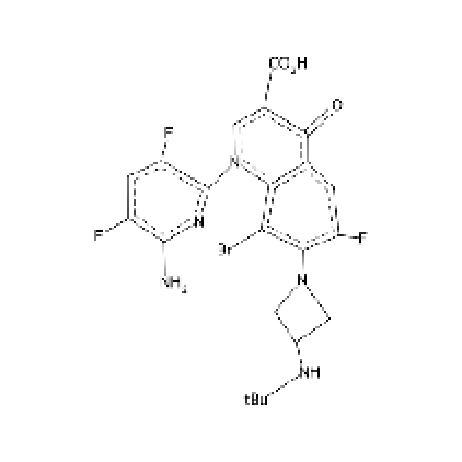 CC(C)(C)NC1CN(c2c(F)cc3c(=O)c(C(=O)O)cn(-c4nc(N)c(F)cc4F)c3c2Br)C1